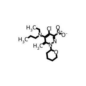 C=C1C(N(CC)CCC)=C(Cl)C([N+](=O)[O-])=NN1C1CCCCO1